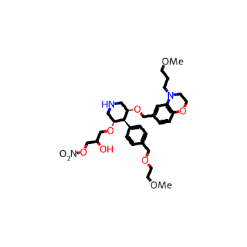 COCCCN1CCOc2ccc(CO[C@H]3CNC[C@@H](OCC(O)CO[N+](=O)[O-])[C@@H]3c3ccc(COCCOC)cc3)cc21